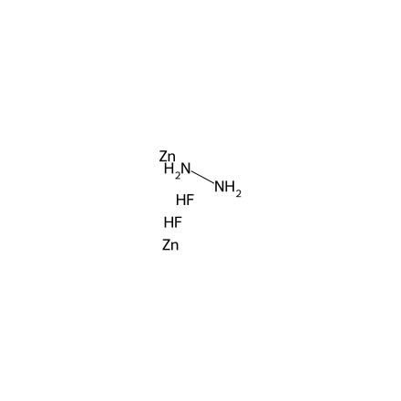 F.F.NN.[Zn].[Zn]